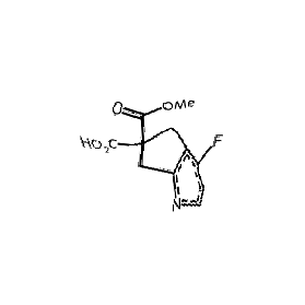 COC(=O)C1(C(=O)O)Cc2nccc(F)c2C1